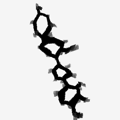 CCCC1COC(c2ccc(-c3ccc(-c4ccc(OC)c(F)c4F)cc3)c(F)c2)OC1